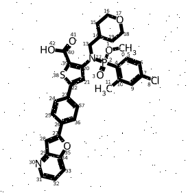 COP(=O)(c1ccc(Cl)cc1C)N(CC1CCOCC1)c1cc(-c2ccc(-c3cc4ncccc4o3)cc2)sc1C(=O)O